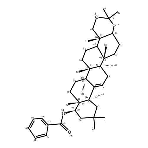 CC1(C)C[C@@H]2C3=CC[C@@H]4[C@@]5(C)CCC6OC(C)(C)OC[C@@]6(C)C5CC[C@@]4(C)[C@]3(C)CC[C@@]2(C)[C@H](OC(=O)c2ccccc2)C1